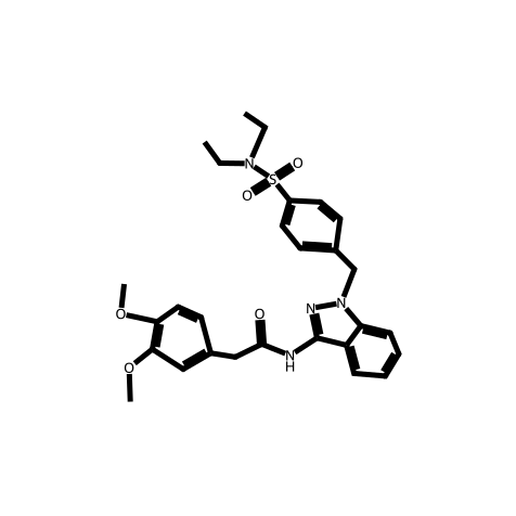 CCN(CC)S(=O)(=O)c1ccc(Cn2nc(NC(=O)Cc3ccc(OC)c(OC)c3)c3ccccc32)cc1